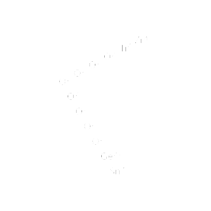 [Ge+4].[O-2].[O-2].[O-2].[O-2].[O-2].[O-2].[O-2].[O-2].[Sn+4].[Ti+4].[Zr+4]